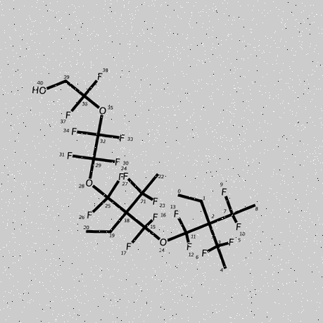 CCC(C(C)(F)F)(C(C)(F)F)C(F)(F)OC(F)(F)C(CC)(C(C)(F)F)C(F)(F)OC(F)(F)C(F)(F)OC(F)(F)CO